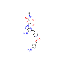 Nc1ccc(COC(=O)N2CCC(Cc3nc(N)c4ncn([C@@H]5O[C@H](C(=O)NC6CC6)[C@H](O)C5O)c4n3)CC2)cc1